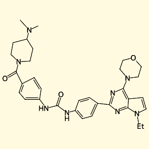 CCn1ccc2c(N3CCOCC3)nc(-c3ccc(NC(=O)Nc4ccc(C(=O)N5CCC(N(C)C)CC5)cc4)cc3)nc21